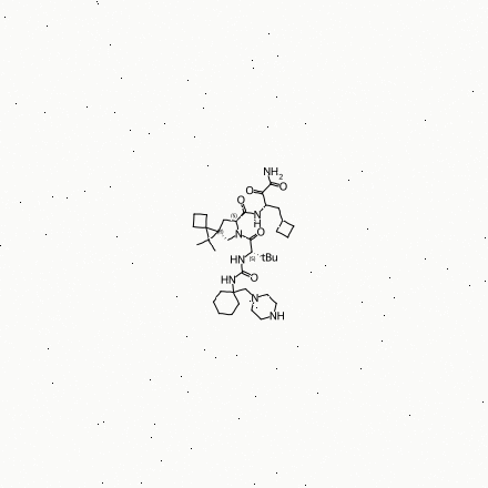 CC(C)(C)[C@H](NC(=O)NC1(CN2CCNCC2)CCCCC1)C(=O)N1C[C@]2(C[C@H]1C(=O)NC(CC1CCC1)C(=O)C(N)=O)C(C)(C)C21CCC1